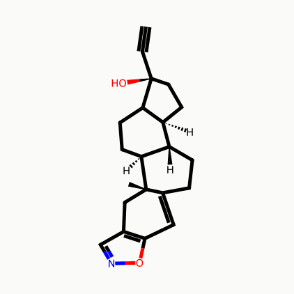 C#C[C@]1(O)CC[C@@H]2C1CC[C@H]1[C@H]2CCC2=Cc3oncc3C[C@@]21C